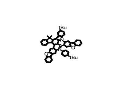 CC(C)(C)c1ccc(N2B3c4cc5oc6ccccc6c5cc4-n4c5ccc(C(C)(C)C)cc5c5c6c(c(c3c54)-c3cc4oc5ccccc5c4cc32)-c2ccccc2C6(C)C)cc1